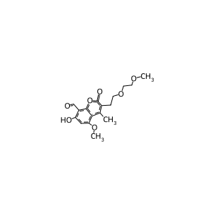 COCCOCCc1c(C)c2c(OC)cc(O)c(C=O)c2oc1=O